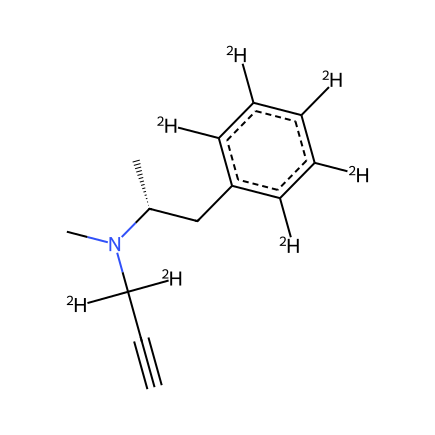 [2H]c1c([2H])c([2H])c(C[C@@H](C)N(C)C([2H])([2H])C#C)c([2H])c1[2H]